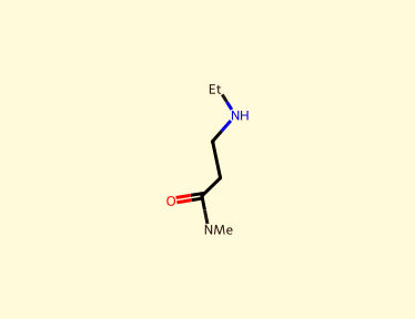 CCNCCC(=O)NC